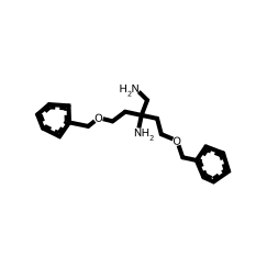 NCC(N)(CCOCc1ccccc1)CCOCc1ccccc1